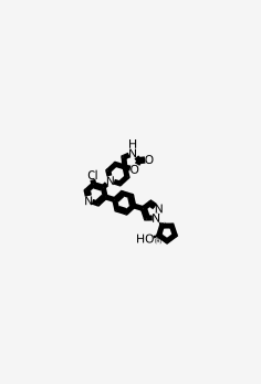 O=C1NCC2(CCN(c3c(Cl)cncc3-c3ccc(-c4cnn([C@@H]5CCC[C@H]5O)c4)cc3)CC2)O1